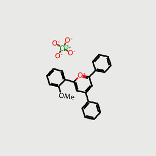 COc1ccccc1-c1cc(-c2ccccc2)cc(-c2ccccc2)[o+]1.[O-][Cl+3]([O-])([O-])[O-]